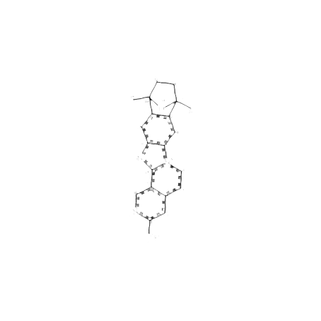 CC(C)(C)c1cc2ccn3c4cc5c(cc4nc3c2cn1)C1(C)CCC5(C)O1